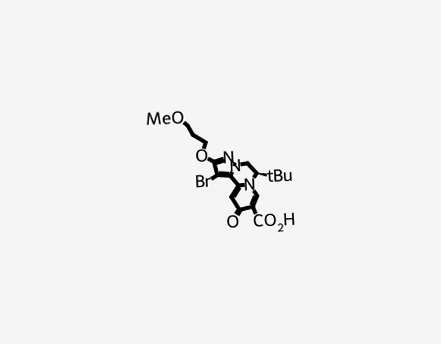 COCCCOc1nn2c(c1Br)-c1cc(=O)c(C(=O)O)cn1[C@H](C(C)(C)C)C2